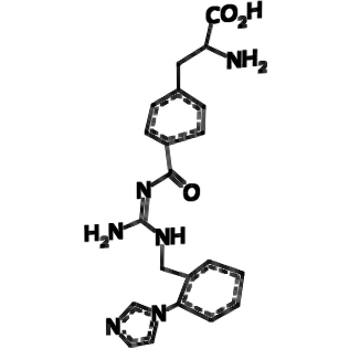 NC(=NC(=O)c1ccc(CC(N)C(=O)O)cc1)NCc1ccccc1-n1ccnc1